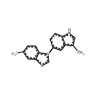 Cc1ccc2c(c1)ncn2-c1ccc2[nH]cc(C)c2c1